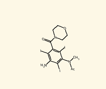 CC(=O)N(C)c1c(I)c(N)c(I)c(C(=O)N2CCOCC2)c1I